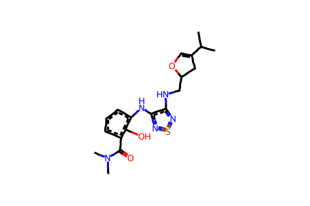 CC(C)C1=COC(CNc2nsnc2Nc2cccc(C(=O)N(C)C)c2O)C1